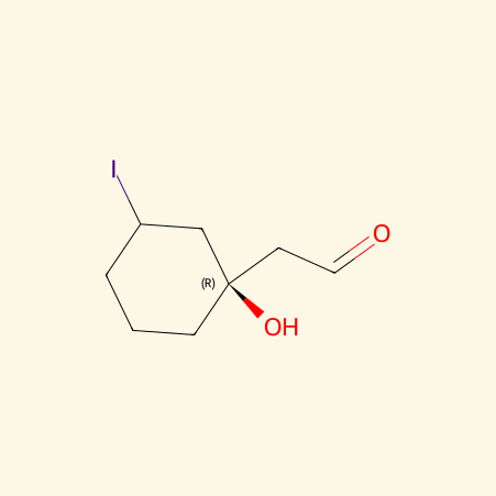 O=CC[C@]1(O)CCCC(I)C1